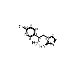 CC(Cn1ccsc1=N)c1ccc(Cl)nc1